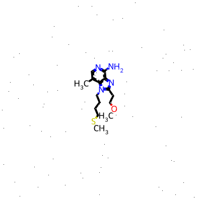 COCCc1nc2c(N)ncc(C)c2n1CCCCSC